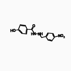 O=C(NNCc1ccc([N+](=O)[O-])cc1)c1ccc(O)cc1